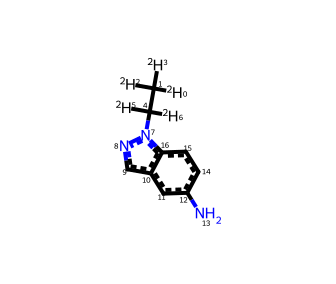 [2H]C([2H])([2H])C([2H])([2H])n1ncc2cc(N)ccc21